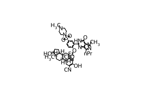 CCCc1nn(C)c2c(=O)[nH]c(-c3cc(S(=O)(=O)N4CCN(C)CC4)ccc3OCC)nc12.C[C@]12CC[C@H]3[C@@H](CC[C@@]45O[C@@H]4C(O)=C(C#N)C[C@]35C)[C@@H]1CC[C@@H]2O